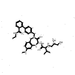 CCNC(=O)c1ccccc1-c1ccc(CN2Cc3ccc(SC)cc3S[C@@H](NC(=O)C(NC[C@H](O)CO)C(C)C)C2=O)cc1